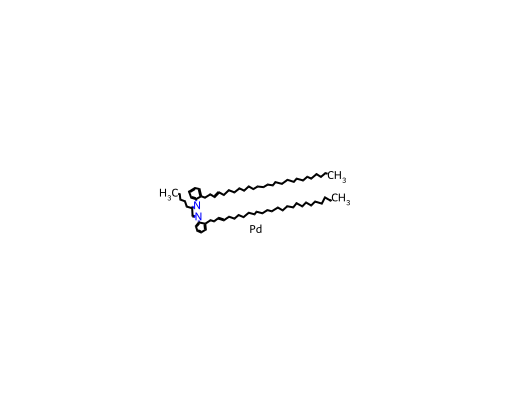 CCCCCCCCCCCCCCCCCCCCCCCC=CCCc1ccccc1N=CC(CCCCC)=Nc1ccccc1CCC=CCCCCCCCCCCCCCCCCCCCCCCC.[Pd]